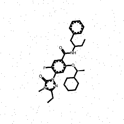 CCc1nn(-c2cc(O[C@@H](C)C3CCCCC3)c(C(=O)NC(CC)Cc3ccccc3)cc2F)c(=O)n1C